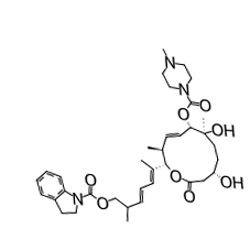 C/C(=C\C=C\C(C)COC(=O)N1CCc2ccccc21)[C@H]1OC(=O)C[C@@H](O)CC[C@](C)(O)[C@@H](OC(=O)N2CCN(C)CC2)/C=C/[C@@H]1C